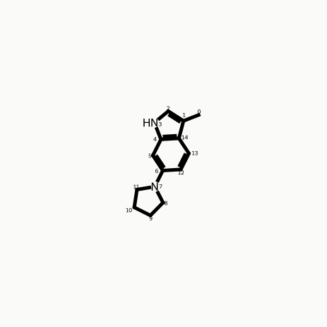 Cc1c[nH]c2cc(N3CCCC3)ccc12